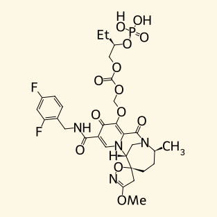 CC[C@H](COC(=O)OCOc1c2n(cc(C(=O)NCc3ccc(F)cc3F)c1=O)[C@@H]1CN(C2=O)[C@@H](C)CC[C@]12CC(OC)=NO2)OP(=O)(O)O